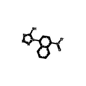 O=[N+]([O-])c1ccc(-n2nnnc2S)c2ccccc12